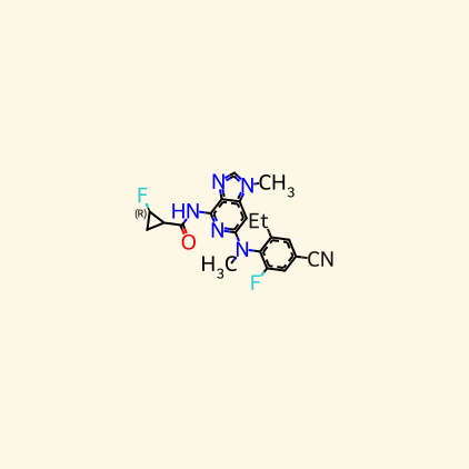 CCc1cc(C#N)cc(F)c1N(C)c1cc2c(ncn2C)c(NC(=O)C2C[C@H]2F)n1